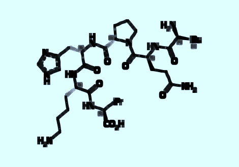 CC[C@H](C)[C@H](N)C(=O)N[C@@H](CCC(N)=O)C(=O)N1CCC[C@H]1C(=O)N[C@@H](Cc1c[nH]cn1)C(=O)N[C@@H](CCCCN)C(=O)N[C@H](C(=O)O)C(C)C